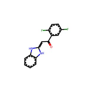 O=C(C=C1Nc2ccccc2N1)c1cc(F)ccc1F